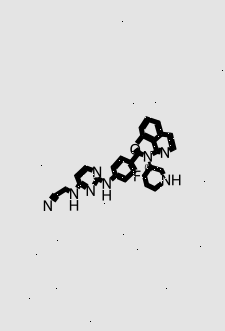 Cc1cccc2ccnc(N(C(=O)c3ccc(Nc4nccc(NCC#N)n4)cc3F)[C@@H]3CCCNC3)c12